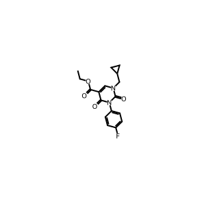 CCOC(=O)c1cn(CC2CC2)c(=O)n(-c2ccc(F)cc2)c1=O